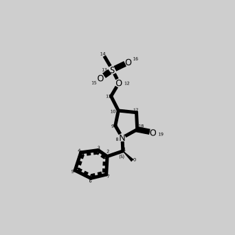 C[C@@H](c1ccccc1)N1CC(COS(C)(=O)=O)CC1=O